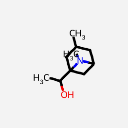 CC1CC2CC(C(C)O)(C1)N2C